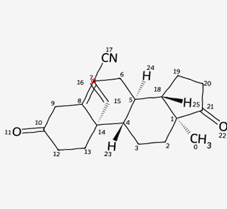 C[C@]12CC[C@H]3[C@@H](CC=C4CC(=O)CC[C@@]43/C=C/C#N)[C@@H]1CCC2=O